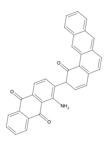 Nc1c(C2C=Cc3ccc4cc5ccccc5cc4c3C2=O)ccc2c1C(=O)c1ccccc1C2=O